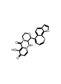 O=C1c2c(O)c(=O)ccn2NC2C(C3=CC=CSc4c3ccc3ccoc43)OCCN12